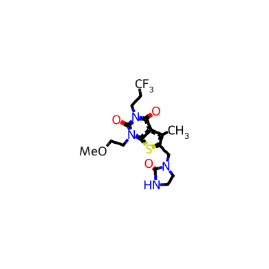 COCCn1c(=O)n(CCC(F)(F)F)c(=O)c2c(C)c(CN3CCNC3=O)sc21